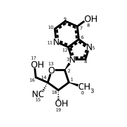 C[C@@H]1[C@H](n2cnc3c(O)ccnc32)O[C@](C#N)(CO)[C@H]1O